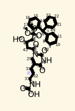 COC(OC)(OC(c1ccccc1)(c1ccccc1)c1ccccc1)[C@H]1O[C@@H](n2cc(/C=C/CNC(=O)O)c(=O)[nH]c2=O)C[C@@H]1O